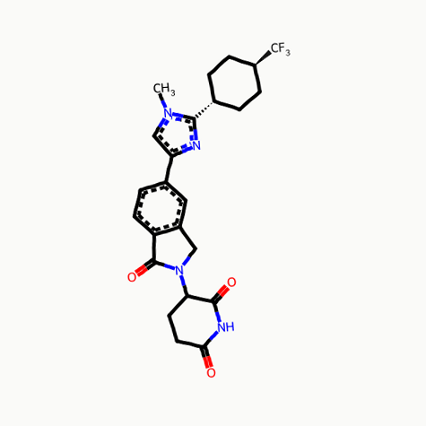 Cn1cc(-c2ccc3c(c2)CN(C2CCC(=O)NC2=O)C3=O)nc1[C@H]1CC[C@H](C(F)(F)F)CC1